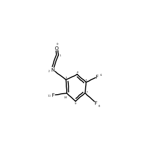 O=C=Nc1cc(F)c(F)cc1F